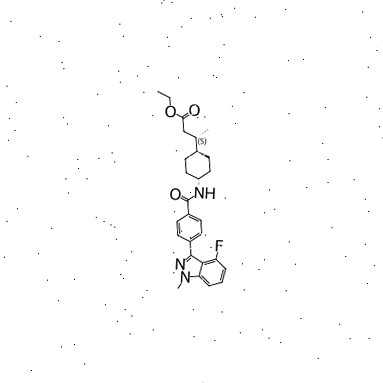 CCOC(=O)C[C@H](C)[C@H]1CC[C@H](NC(=O)c2ccc(-c3nn(C)c4cccc(F)c34)cc2)CC1